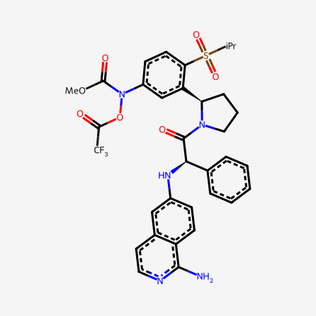 COC(=O)N(OC(=O)C(F)(F)F)c1ccc(S(=O)(=O)C(C)C)c([C@H]2CCCN2C(=O)[C@H](Nc2ccc3c(N)nccc3c2)c2ccccc2)c1